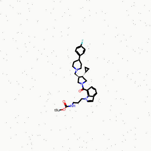 CC(C)(C)OC(=O)NCCCn1ccc2cccc(C(=O)N3C[C@@H](CN4CCC(c5ccc(F)cc5)CC4)[C@H](C4CC4)C3)c21